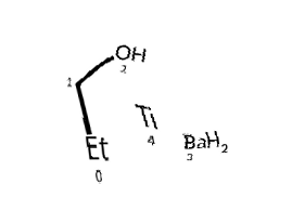 CCCO.[BaH2].[Ti]